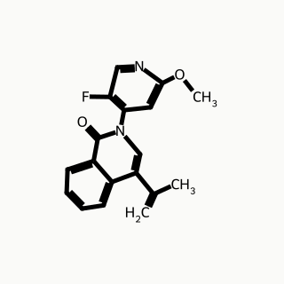 C=C(C)c1cn(-c2cc(OC)ncc2F)c(=O)c2ccccc12